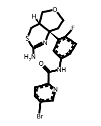 NC1=N[C@@]2(c3cc(NC(=O)c4ccc(Br)cn4)ccc3F)CCOC[C@H]2CS1